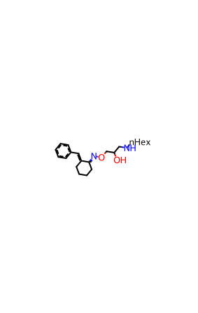 CCCCCCNCC(O)CON=C1CCCCC1=Cc1ccccc1